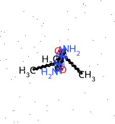 CCCCCCCCCCCCn1c2cc(N)nc(=O)c-2nc2c(C)c3c(cc21)nc1c(=O)nc(N)cc-1n3CCCCCCCCCCCC